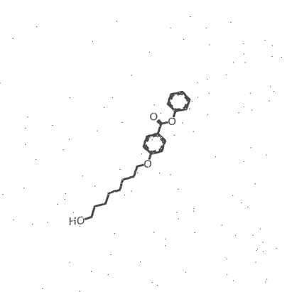 O=C(Oc1[c]cccc1)c1ccc(OCCCCCCCCO)cc1